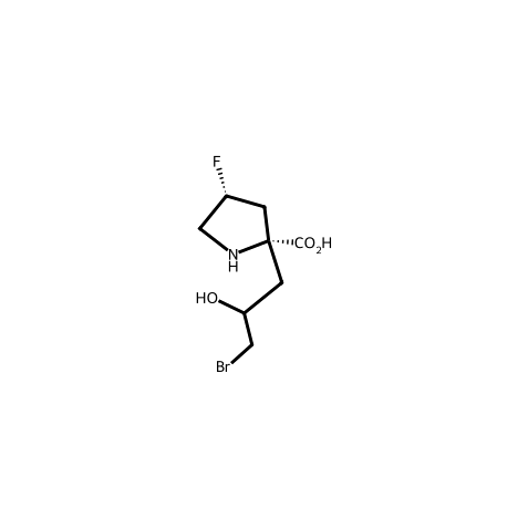 O=C(O)[C@@]1(CC(O)CBr)C[C@@H](F)CN1